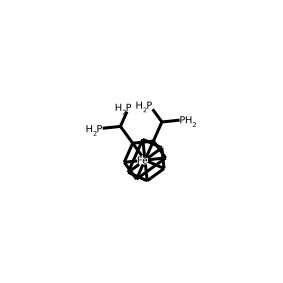 PC(P)[C]12[CH]3[CH]4[CH]5[C]1(C(P)P)[Fe]43521678[CH]2[CH]1[CH]6[CH]7[CH]28